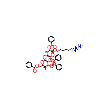 C[C@@H]1C(OC(=O)c2ccccc2)[C@H](OCCCCCCN=[N+]=[N-])OC(COC(=O)c2ccccc2)[C@H]1O[C@@H]1OC(COC(=O)c2ccccc2)[C@H](C)[C@H](C)C1OC(=O)c1ccccc1